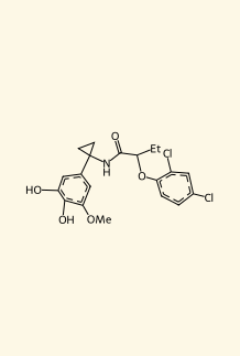 CCC(Oc1ccc(Cl)cc1Cl)C(=O)NC1(c2cc(O)c(O)c(OC)c2)CC1